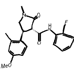 COc1ccc([C@H]2CN(C)C(=O)[C@@H]2C(=O)Nc2ccccc2F)c(C)c1